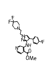 COC(=O)c1ccncc1Nc1nn(CCN2CCC(F)(F)CC2)cc1-c1ccc(F)cc1